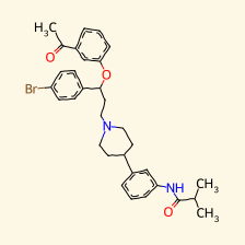 CC(=O)c1cccc(OC(CCN2CCC(c3cccc(NC(=O)C(C)C)c3)CC2)c2ccc(Br)cc2)c1